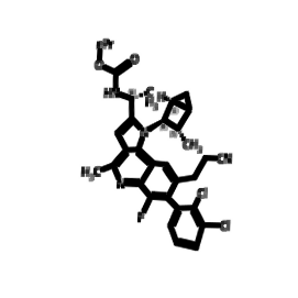 CCCOC(=O)N[C@H](C)c1cc2c(C)nc3c(F)c(-c4cccc(Cl)c4Cl)c(CCC#N)cc3c2n1[C@@H]1[C@@H](C)C2C[C@@H]21